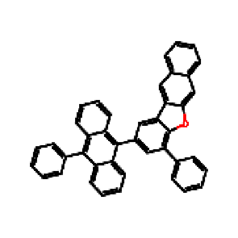 c1ccc(-c2c3ccccc3c(-c3cc(-c4ccccc4)c4oc5cc6ccccc6cc5c4c3)c3ccccc23)cc1